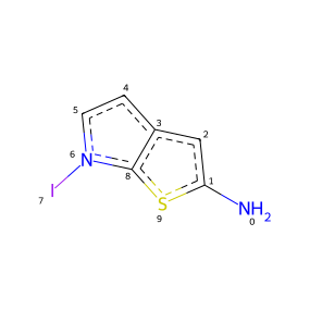 Nc1cc2ccn(I)c2s1